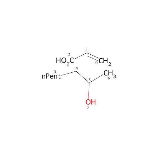 C=CC(=O)O.CCCCCCC(C)O